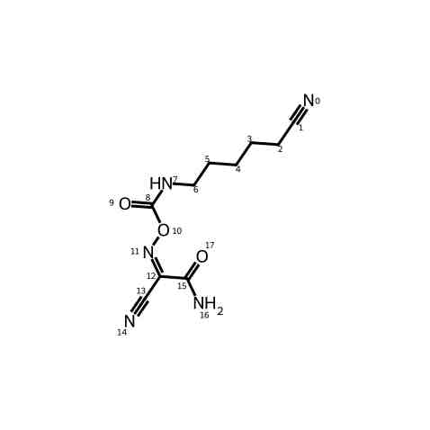 N#CCCCCCNC(=O)ON=C(C#N)C(N)=O